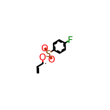 C=C[CH]OS(=O)(=O)c1ccc(F)cc1